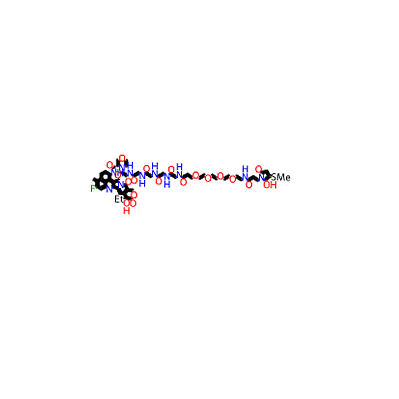 CC[C@]1(O)C(=O)OCc2c1cc1n(c2=O)Cc2c-1nc1cc(F)c(C)c3c1c2[C@H](NC(=O)[C@@H]1COCCN1C(=O)CNC(=O)CNC(=O)CNC(=O)CNC(=O)CNC(=O)CCOCCOCCOCCOCCNC(=O)CCN1C(=O)CC(SC)C1O)CC3